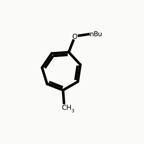 CCCCOC1=C=CC=C(C)C=C1